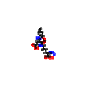 CC(C)CC(C)(C)C(=O)NC(CCC(=O)O)C(=O)NCCCCC(N)C(=O)O